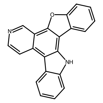 c1ccc2c(c1)[nH]c1c2c2ccncc2c2oc3ccccc3c12